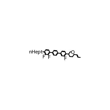 C/C=C/C1CCC(c2ccc(-c3ccc(-c4ccc(CCCCCCC)c(F)c4F)cc3)cc2F)CO1